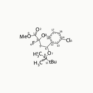 COC(=O)C1(F)CC(O[Si](C)(C)C(C)(C)C)c2cc(Cl)ccc2O1